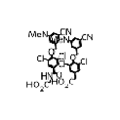 CNc1cc(C#N)cc(COc2c(Cl)cc(C(=O)NCC(=O)O)cc2Cl)c1.CNc1cc(C#N)cc(COc2c(Cl)cc(CC(=O)O)cc2Cl)c1